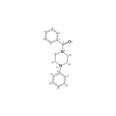 O=C(c1ccccc1)N1CCN(c2c[c]ccc2)CC1